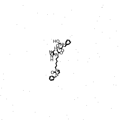 O=C(O)N[C@@H](Cc1ccccc1)C(=O)N[C@@H](Cc1c[nH]cn1)C(=O)NCCCCCCn1ccn(Cc2ccccc2)c1=O